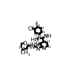 CN1CCOC(CNc2nc3nccc(C(=N)N(O)c4ccc(F)c(Cl)c4)c3[nH]2)C1